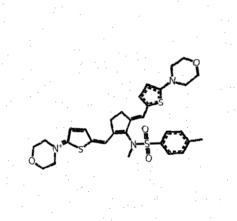 Cc1ccc(S(=O)(=O)N(C)C2=C(/C=C3\C=CC(=[N+]4CCOCC4)S3)CC/C2=C\c2ccc(N3CCOCC3)s2)cc1